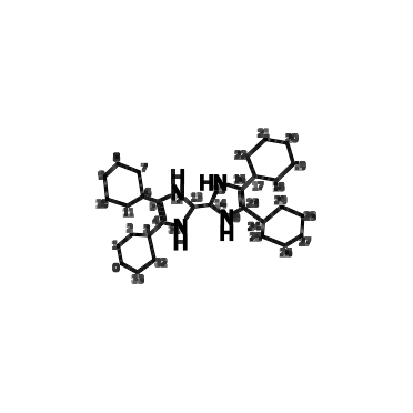 C1CCC(C2=C(C3CCCCC3)NC(C3NC(C4CCCCC4)=C(C4CCCCC4)N3)N2)CC1